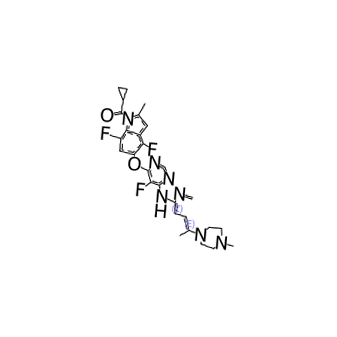 C=N/C(=C\C=C(/C)N1CCN(C)CC1)Nc1ncnc(Oc2cc(F)c3c(cc(C)n3C(=O)C3CC3)c2F)c1F